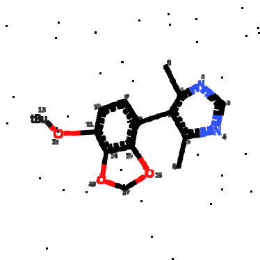 Cc1ncnc(C)c1-c1ccc(OC(C)(C)C)c2c1OCO2